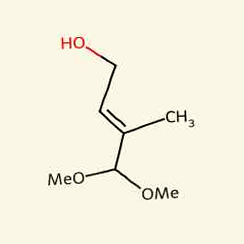 COC(OC)C(C)=CCO